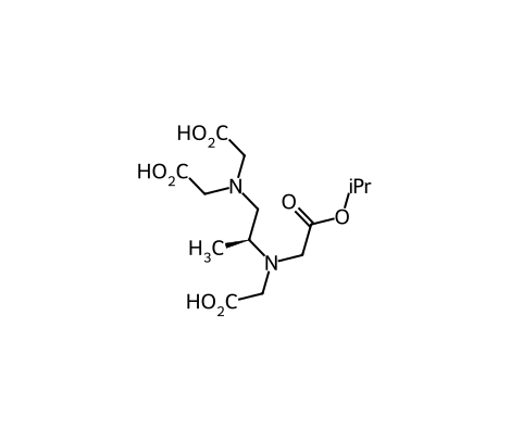 CC(C)OC(=O)CN(CC(=O)O)[C@@H](C)CN(CC(=O)O)CC(=O)O